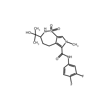 Cn1cc2c(c1C(=O)Nc1ccc(F)c(F)c1)CCC(C(C)(C)O)NS2(=O)=O